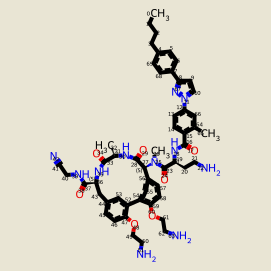 CCCCc1ccc(-c2ccn(-c3ccc(C(=O)N[C@@H](CCN)C(=O)N(C)[C@@H]4C(=O)N[C@@H](C)C(=O)N[C@H](C(=O)NCC#N)Cc5ccc(OCCN)c(c5)-c5cc4ccc5OCCN)c(C)c3)n2)cc1